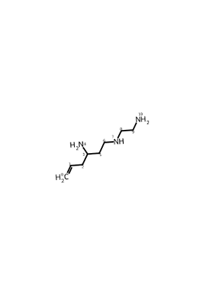 C=CCC(N)CCNCCN